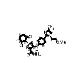 COCCn1cc(C(F)(F)F)nc1-c1ccc(Nc2cn(-c3c(Cl)cccc3Cl)nc2C(N)=O)cc1